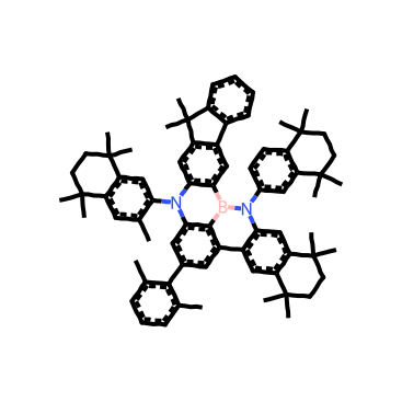 Cc1cc2c(cc1N1c3cc4c(cc3B3c5c(cc(-c6c(C)cccc6C)cc51)-c1cc5c(cc1N3c1ccc3c(c1)C(C)(C)CCC3(C)C)C(C)(C)CCC5(C)C)-c1ccccc1C4(C)C)C(C)(C)CCC2(C)C